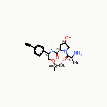 C#Cc1ccc([C@H](CO[Si](C)(C)C(C)(C)C)NC(=O)[C@@H]2C[C@@H](O)CN2C(=O)[C@@H](N)C(C)(C)C)cc1